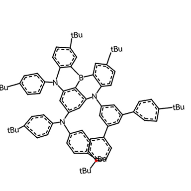 CC(C)(C)c1ccc(-c2cc(-c3ccc(C(C)(C)C)cc3)cc(N3c4ccc(C(C)(C)C)cc4B4c5cc(C(C)(C)C)ccc5N(c5ccc(C(C)(C)C)cc5)c5cc(N(c6ccc(C(C)(C)C)cc6)c6ccc(C(C)(C)C)cc6)cc3c54)c2)cc1